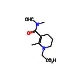 CC1=C(C(=O)N(C)C=O)CCCN1CC(=O)O